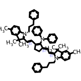 Cc1ccc2c(c1)C(C)(C)C(/C=C/C1=C(N(c3ccccc3)c3ccccc3)C(=C/C=C3/N(CCCc4ccccc4)c4ccc(C)cc4C3(C)C)/CC1)=[N+]2CCCc1ccccc1